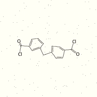 O=C(Cl)c1ccc(Cc2cccc(C(=O)Cl)c2)cc1